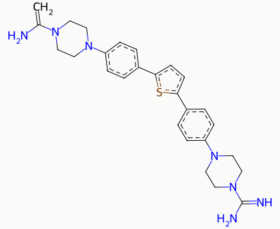 C=C(N)N1CCN(c2ccc(-c3ccc(-c4ccc(N5CCN(C(=N)N)CC5)cc4)s3)cc2)CC1